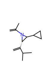 C=C(C(C)C)[C@H]1C(C2CC2)N1C(=C)C